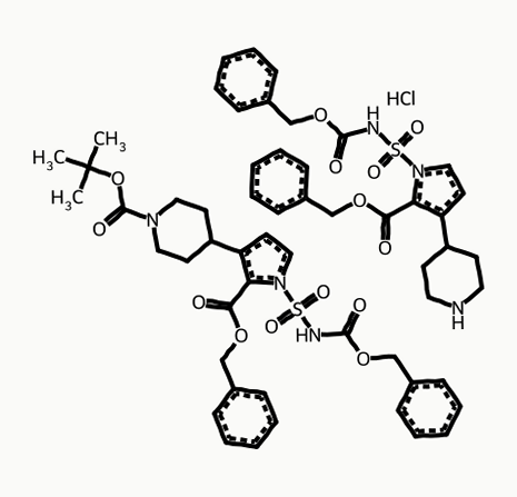 CC(C)(C)OC(=O)N1CCC(c2ccn(S(=O)(=O)NC(=O)OCc3ccccc3)c2C(=O)OCc2ccccc2)CC1.Cl.O=C(NS(=O)(=O)n1ccc(C2CCNCC2)c1C(=O)OCc1ccccc1)OCc1ccccc1